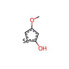 COc1c[se]c(O)c1